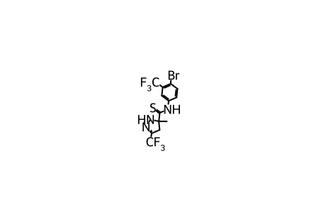 CC1(C(=S)Nc2ccc(Br)c(C(F)(F)F)c2)CC(C(F)(F)F)=NN1